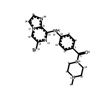 CN1CCN(C(=O)c2ccc(Nc3nc(Br)cn4ccnc34)cc2)CC1